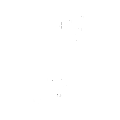 NC(=O)[C@H](CCC(=O)O)NC(=O)c1ccc(CCc2c[nH]c3nc(N)[nH]c(=O)c23)cc1